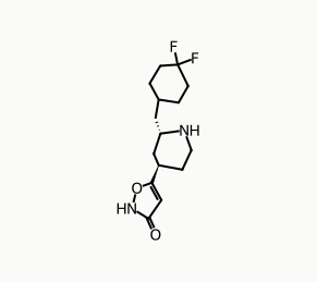 O=c1cc([C@@H]2CCN[C@@H](CC3CCC(F)(F)CC3)C2)o[nH]1